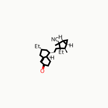 CC[C@H]1CC2=CC(=O)CC[C@@H]2[C@@H](CC[C@@]2(CC)[C@H](C)[C@@H]3C[C@@H]3[C@]2(C)C#N)C1